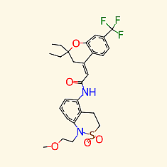 CCC1(CC)CC(=CC(=O)Nc2cccc3c2CCS(=O)(=O)N3CCOC)c2ccc(C(F)(F)F)cc2O1